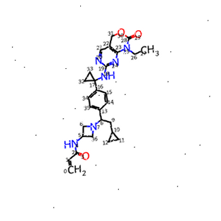 C=CC(=O)NC1CN(C(CC2CC2)c2ccc(C3(Nc4ncc5c(n4)N(CC)C(=O)OC5)CC3)cc2)C1